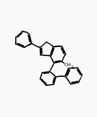 Cc1ccc2c(c1-c1ccccc1-c1ccccc1)C=C(c1ccccc1)[CH]2